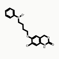 O=C1Nc2cc(Cl)c(OCCCC[S+]([O-])c3ccccc3)cc2CO1